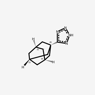 [CH]1[C@@H]2C[C@@H]3C[C@H]1C[C@@](c1nn[nH]n1)(C2)C3